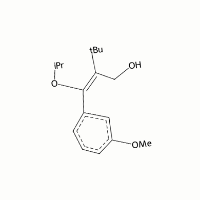 COc1cccc(C(OC(C)C)=C(CO)C(C)(C)C)c1